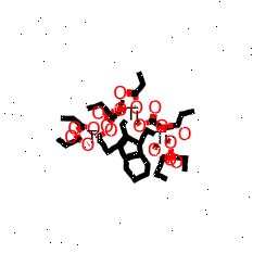 CCC(=O)[O][Ti]([CH2]C1=C([CH2][Ti]([O]C(=O)CC)([O]C(=O)CC)[O]C(=O)CC)C([CH2][Ti]([O]C(=O)CC)([O]C(=O)CC)[O]C(=O)CC)C2=C1CCCC2)([O]C(=O)CC)[O]C(=O)CC